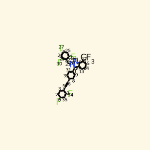 Fc1ccc(C#Cc2ccc(-c3c4cccc(C(F)(F)F)c4nn3Cc3c(F)cc(F)cc3F)cc2)c(F)c1